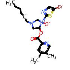 CCCCCCN1CC(OC(=O)c2cc(C)c(C)cn2)[N+]([O-])(c2ncc(Br)s2)C1